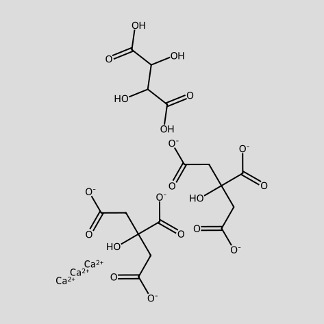 O=C(O)C(O)C(O)C(=O)O.O=C([O-])CC(O)(CC(=O)[O-])C(=O)[O-].O=C([O-])CC(O)(CC(=O)[O-])C(=O)[O-].[Ca+2].[Ca+2].[Ca+2]